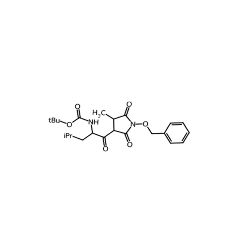 CC(C)CC(NC(=O)OC(C)(C)C)C(=O)C1C(=O)N(OCc2ccccc2)C(=O)C1C